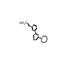 O=C(O)C=Cc1cccc(-c2cncc(N3CCCCCC3)n2)c1